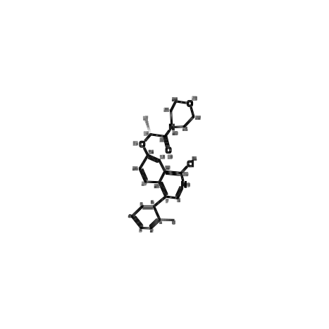 Cc1ccccc1-c1cnc(Cl)c2cc(O[C@H](C)C(=O)N3CCOCC3)ccc12